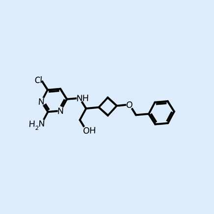 Nc1nc(Cl)cc(NC(CO)C2CC(OCc3ccccc3)C2)n1